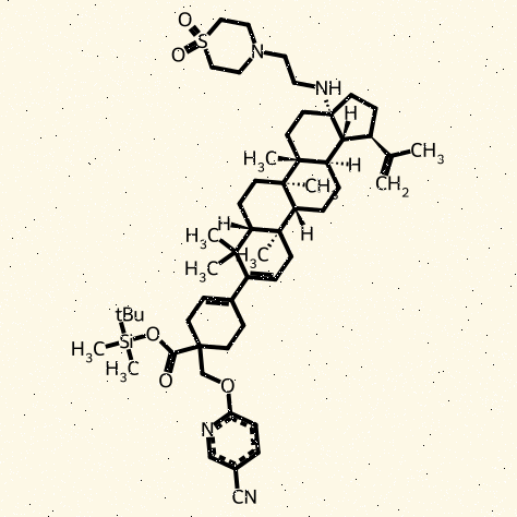 C=C(C)[C@@H]1CC[C@]2(NCCN3CCS(=O)(=O)CC3)CC[C@]3(C)[C@H](CC[C@@H]4[C@@]5(C)CC=C(C6=CCC(COc7ccc(C#N)cn7)(C(=O)O[Si](C)(C)C(C)(C)C)CC6)C(C)(C)[C@@H]5CC[C@]43C)[C@@H]12